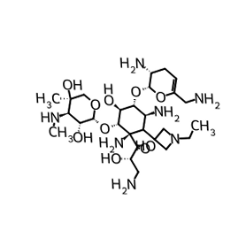 CCN1CC(O)(C2[C@H](N)[C@@H](O[C@H]3OC(CN)=CC[C@H]3N)[C@H](O)[C@@H](O[C@H]3OC[C@](C)(O)[C@H](NC)[C@H]3O)[C@@]2(N)C(=O)[C@@H](O)CN)C1